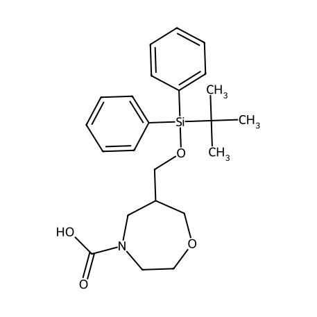 CC(C)(C)[Si](OCC1COCCN(C(=O)O)C1)(c1ccccc1)c1ccccc1